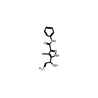 C=CC(O)c1[nH]nc(C(=O)Nc2ccccc2)c1I